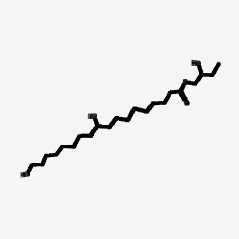 CCC(O)COC(=O)CCCCCCCCC(O)CCCCCCCCO